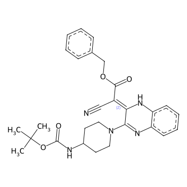 CC(C)(C)OC(=O)NC1CCN(C2=Nc3ccccc3N/C2=C(/C#N)C(=O)OCc2ccccc2)CC1